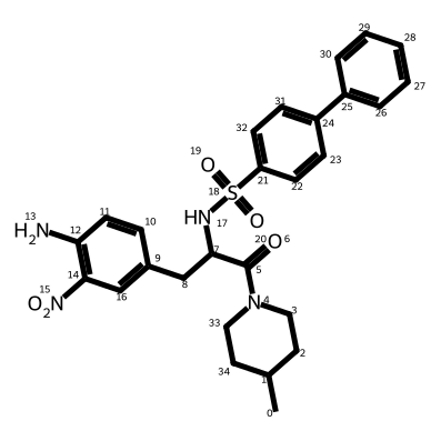 CC1CCN(C(=O)C(Cc2ccc(N)c([N+](=O)[O-])c2)NS(=O)(=O)c2ccc(-c3ccccc3)cc2)CC1